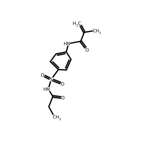 C=C(C)C(=O)Nc1ccc(S(=O)(=O)NC(=O)CC)cc1